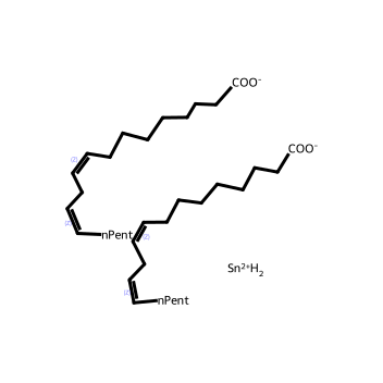 CCCCC/C=C\C/C=C\CCCCCCCC(=O)[O-].CCCCC/C=C\C/C=C\CCCCCCCC(=O)[O-].[SnH2+2]